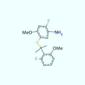 COc1cc(F)c(N)cc1SC(C)(C)c1c(F)cccc1OC